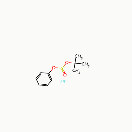 CC(C)(C)OS(=O)Oc1ccccc1.F